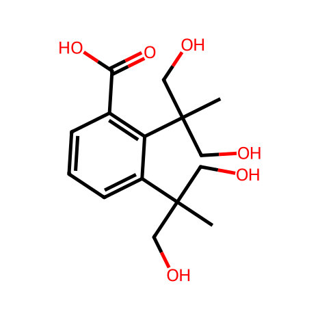 CC(CO)(CO)c1cccc(C(=O)O)c1C(C)(CO)CO